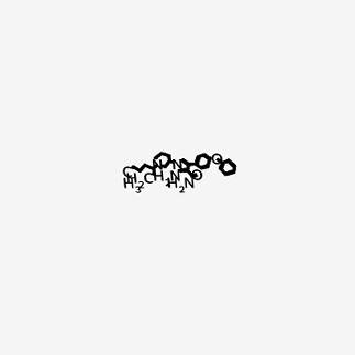 C=CC(CCCC)N1CCCC(n2cc(-c3ccc(Oc4ccccc4)cc3)c(C(N)=O)c2N)C1